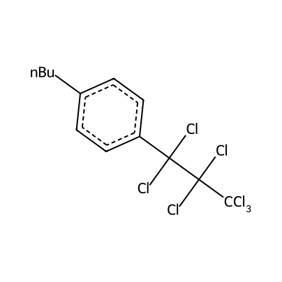 [CH2]CCCc1ccc(C(Cl)(Cl)C(Cl)(Cl)C(Cl)(Cl)Cl)cc1